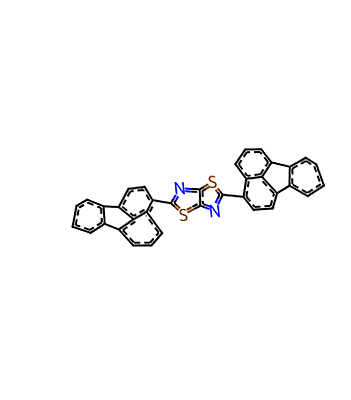 c1ccc2c(c1)-c1cccc3c(-c4nc5sc(-c6ccc7c8c(cccc68)-c6ccccc6-7)nc5s4)ccc-2c13